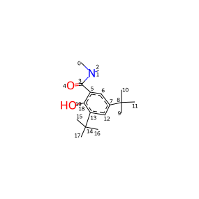 CN(C)C(=O)c1cc(C(C)(C)C)cc(C(C)(C)C)c1O